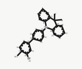 CC1(C)c2ccccc2N(c2ccc(-c3ccc(I)c(Br)c3)cc2)c2ccccc21